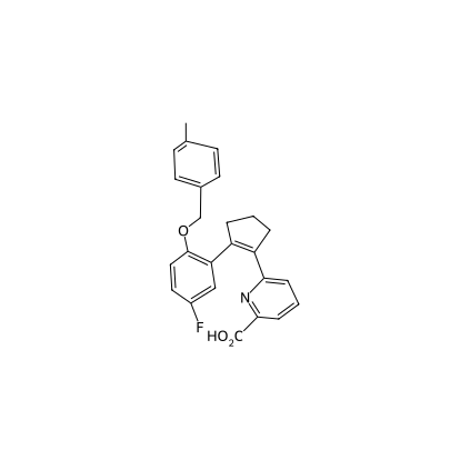 Cc1ccc(COc2ccc(F)cc2C2=C(c3cccc(C(=O)O)n3)CCC2)cc1